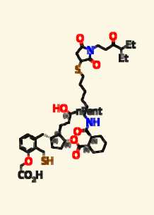 CCCCC[C@H](O)CC[C@@H]1[C@@H](Cc2cccc(OCC(=O)O)c2CS)CC[C@H]1OC(=O)[C@@H]1CCCC[C@@H]1C(=O)NCCCCCCSC1CC(=O)N(CCC(=O)C(CC)CC)C1=O